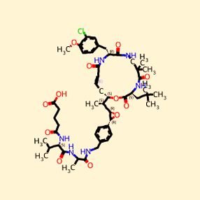 COc1ccc(C[C@H]2NC(=O)/C=C/C[C@@H]([C@H](C)[C@H]3O[C@@H]3c3ccc(CNC(=O)C(C)NC(=O)[C@@H](NC(=O)CCCC(=O)O)C(C)C)cc3)OC(=O)[C@H](CC(C)(C)C)NC(=O)C(C)(C)CNC2=O)cc1Cl